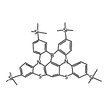 C[Si](C)(C)c1ccc2c(c1)B1c3cc([Si](C)(C)C)ccc3-n3c4ccc([Si](C)(C)C)cc4sc4cc5sc6cc([Si](C)(C)C)ccc6n-2c5c1c43